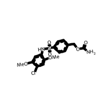 COc1cc(NS(=O)(=O)c2ccc(COC(N)=O)cc2)c(OC)cc1Cl